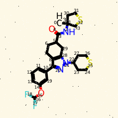 CC1(NC(=O)C2CCc3c(-c4cccc(OC(F)F)c4)nn(C4CCSCC4)c3C2)CCSC1